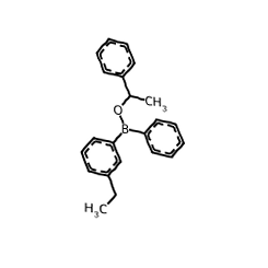 CCc1cccc(B(OC(C)c2ccccc2)c2ccccc2)c1